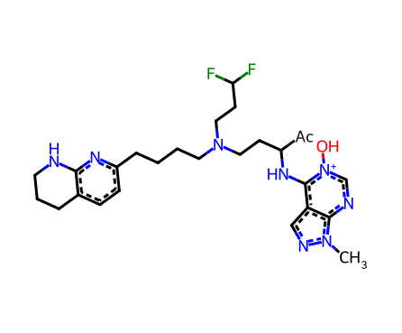 CC(=O)C(CCN(CCCCc1ccc2c(n1)NCCC2)CCC(F)F)Nc1c2cnn(C)c2nc[n+]1O